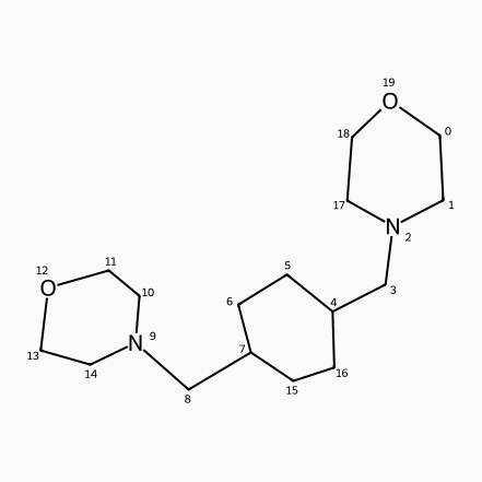 C1CN(CC2CCC(CN3CCOCC3)CC2)CCO1